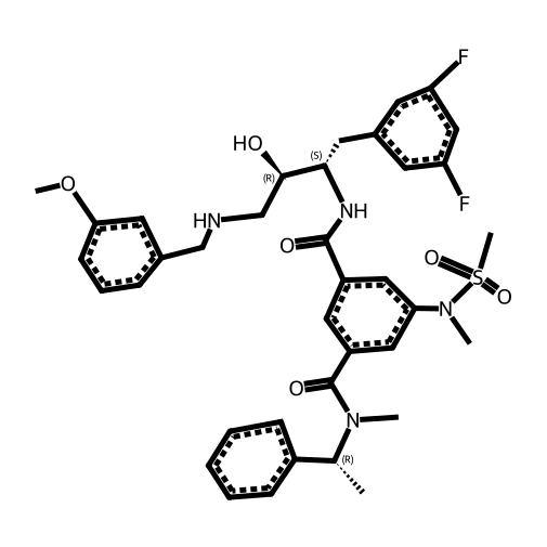 COc1cccc(CNC[C@@H](O)[C@H](Cc2cc(F)cc(F)c2)NC(=O)c2cc(C(=O)N(C)[C@H](C)c3ccccc3)cc(N(C)S(C)(=O)=O)c2)c1